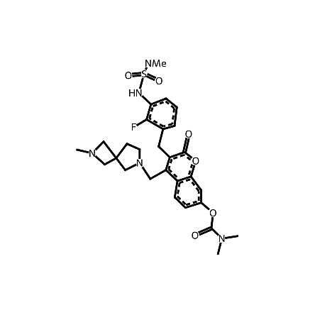 CNS(=O)(=O)Nc1cccc(Cc2c(CN3CCC4(CN(C)C4)C3)c3ccc(OC(=O)N(C)C)cc3oc2=O)c1F